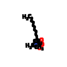 CCCCCCCCCCCC(=O)C(C(=O)[O-])[N+](C)(C)C